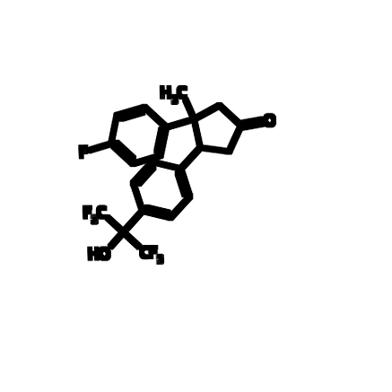 CC1(c2ccc(F)cc2)CC(=O)CC1c1ccc(C(O)(C(F)(F)F)C(F)(F)F)cc1